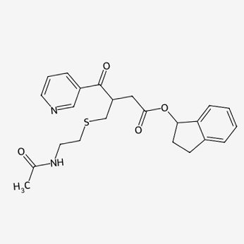 CC(=O)NCCSCC(CC(=O)OC1CCc2ccccc21)C(=O)c1cccnc1